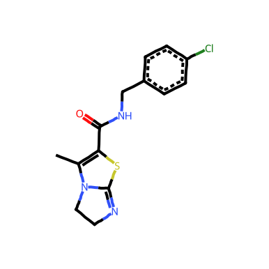 CC1=C(C(=O)NCc2ccc(Cl)cc2)SC2=NCCN21